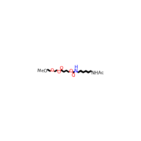 COCCOCCOC(=O)CCCOC(=O)NCCCCCCNC(C)=O